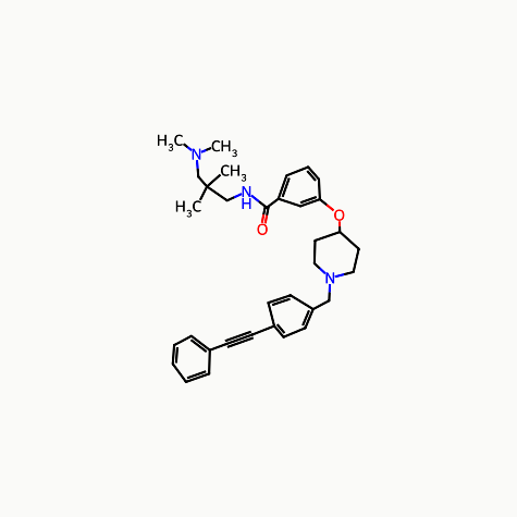 CN(C)CC(C)(C)CNC(=O)c1cccc(OC2CCN(Cc3ccc(C#Cc4ccccc4)cc3)CC2)c1